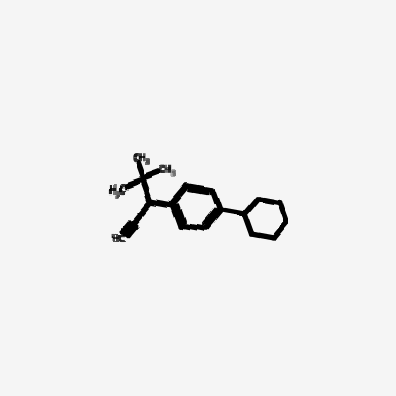 C#CC(c1ccc(C2CCCCC2)cc1)C(C)(C)C